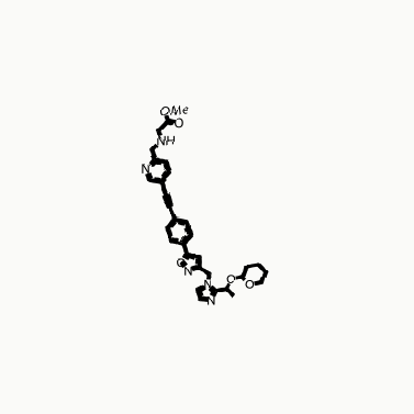 COC(=O)CNCc1ccc(C#Cc2ccc(-c3cc(Cn4ccnc4C(C)OC4CCCCO4)no3)cc2)cn1